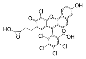 O=C(O)c1c(Cl)c(Cl)c(Cl)c(Cl)c1-c1c2cc(CCC3OC3O)c(=O)c(Cl)c-2oc2c1ccc1cc(O)ccc12